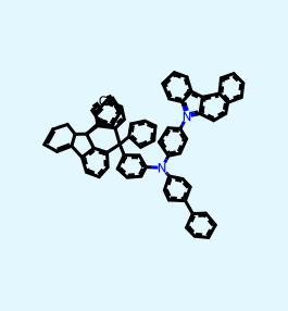 C1=CCC2C(=C1)c1cccc3c1C2(c1ccccc1)c1ccccc1C3(c1ccccc1)c1cccc(N(c2ccc(-c3ccccc3)cc2)c2ccc(-n3c4ccccc4c4c5ccccc5ccc43)cc2)c1